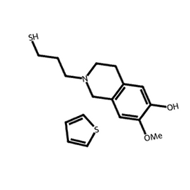 COc1cc2c(cc1O)CCN(CCCS)C2.c1ccsc1